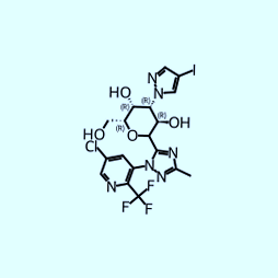 Cc1nc(C2O[C@H](CO)[C@H](O)[C@H](n3cc(I)cn3)[C@H]2O)n(-c2cc(Cl)cnc2C(F)(F)F)n1